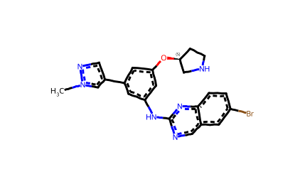 Cn1cc(-c2cc(Nc3ncc4cc(Br)ccc4n3)cc(O[C@H]3CCNC3)c2)cn1